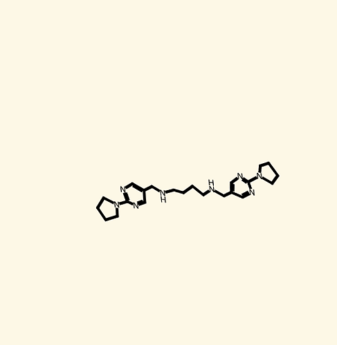 c1nc(N2CCCC2)ncc1CNCCCCNCc1cnc(N2CCCC2)nc1